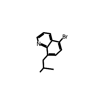 CC(C)Cc1ccc(Br)c2cccnc12